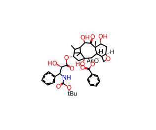 CC(=O)O[C@@]12CO[C@@H]1C[C@H](O)[C@@]1(C)C(=O)[C@H](O)C3C(C)[C@@H](OC(=O)[C@H](O)[C@@H](NC(=O)OC(C)(C)C)c4ccccc4)C[C@@](O)([C@@H](OC(=O)c4ccccc4)[C@H]21)C3(C)C